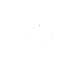 CC/C=C\C/C=C\C/C=C\C12CC1(OC(=O)OC(I)C(C)C)C2